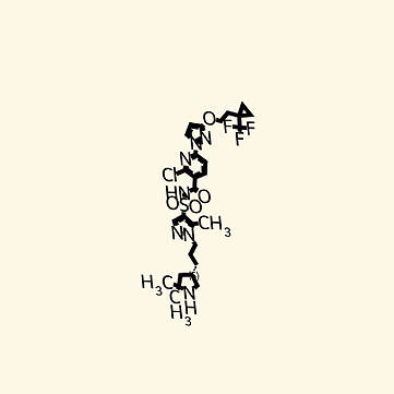 Cc1c(S(=O)(=O)NC(=O)c2ccc(-n3ccc(OCCC4(C(F)(F)F)CC4)n3)nc2Cl)cnn1CCC[C@@H]1CNC(C)(C)C1